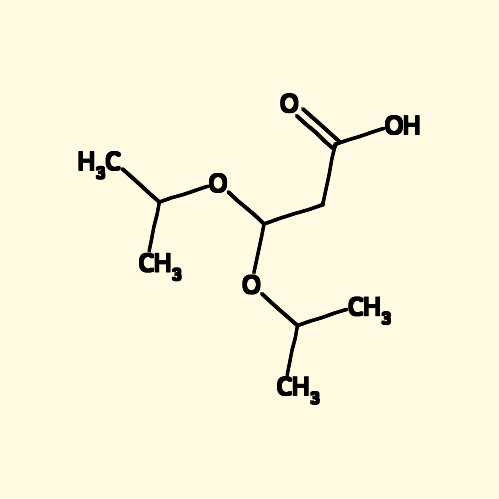 CC(C)OC(CC(=O)O)OC(C)C